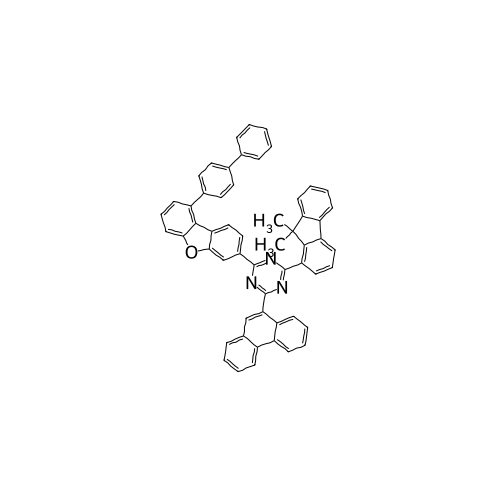 CC1(C)c2ccccc2-c2cccc(-c3nc(-c4ccc5c(c4)oc4cccc(-c6ccc(-c7ccccc7)cc6)c45)nc(-c4cc5ccccc5c5ccccc45)n3)c21